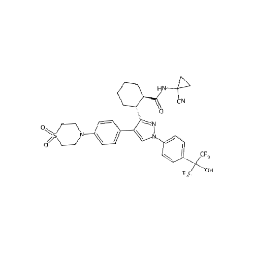 N#CC1(NC(=O)[C@@H]2CCCC[C@H]2c2nn(-c3ccc(C(O)(C(F)(F)F)C(F)(F)F)cc3)cc2-c2ccc(N3CCS(=O)(=O)CC3)cc2)CC1